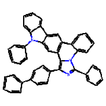 c1ccc(-c2ccc(-c3nc(-c4ccccc4)n4c5ccccc5c5cc6c7ccccc7n(-c7ccccc7)c6cc5c34)cc2)cc1